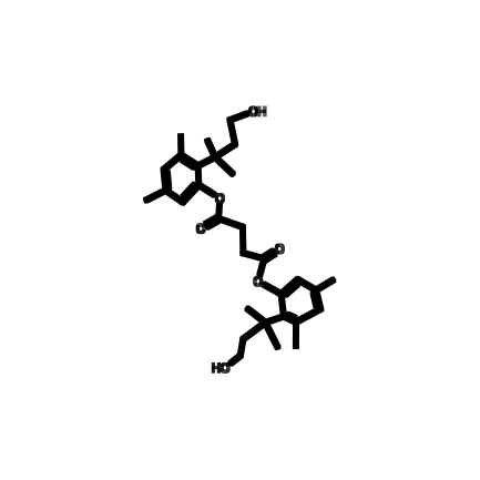 Cc1cc(C)c(C(C)(C)CCO)c(OC(=O)CCC(=O)Oc2cc(C)cc(C)c2C(C)(C)CCO)c1